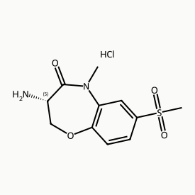 CN1C(=O)[C@@H](N)COc2ccc(S(C)(=O)=O)cc21.Cl